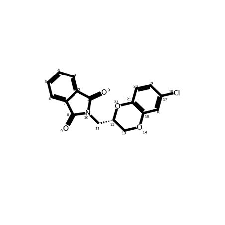 O=C1c2ccccc2C(=O)N1C[C@H]1COc2cc(Cl)ccc2O1